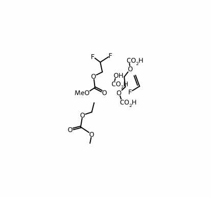 C=CF.CCOC(=O)OC.COC(=O)OCC(F)F.O=C(O)O.O=C(O)OCCOC(=O)O